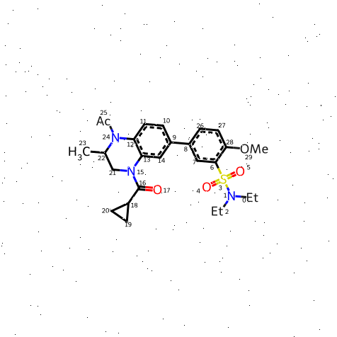 CCN(CC)S(=O)(=O)c1cc(-c2ccc3c(c2)N(C(=O)C2CC2)CC(C)N3C(C)=O)ccc1OC